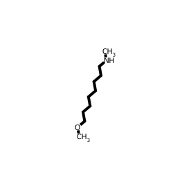 CNCCCCCCCCOC